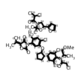 CC(C)=C1OC(=O)N(c2cc(OC3CCCC3)c(Cl)cc2F)C1=O.CC1(C)OC(c2ccco2)CN1C(=O)C(Cl)Cl.CCc1cccc(C)c1N(C(=O)CCl)C(C)COC